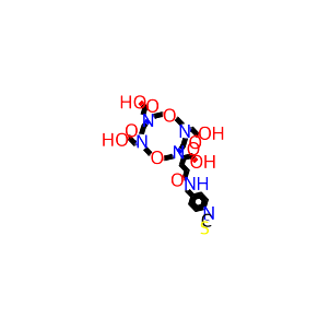 O=C(O)CN1CCOCCN(CC(=O)O)CCN(C(CCC(=O)NCc2ccc(N=C=S)cc2)C(=O)O)CCOCCN(CC(=O)O)CC1